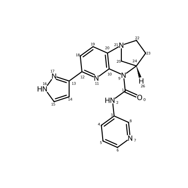 O=C(Nc1cccnc1)N1c2nc(-c3cc[nH]n3)ccc2N2CC[C@H]1C2